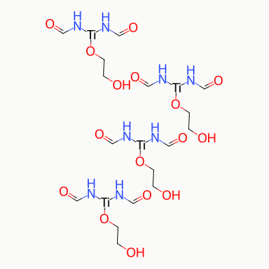 O=C[NH][Ti]([NH]C=O)[O]CCO.O=C[NH][Ti]([NH]C=O)[O]CCO.O=C[NH][Ti]([NH]C=O)[O]CCO.O=C[NH][Ti]([NH]C=O)[O]CCO